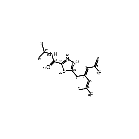 C=C(F)/C=C(\C=C(/C)F)Cc1nnc(C(=O)NC(C)C)s1